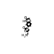 NC[C@H]1CN(c2ccc3c(c2)NC(=O)CS3)C(=O)O1